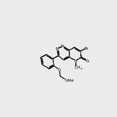 COCOc1ccccc1-c1cc2c(cc(Br)c(=O)n2C)nn1